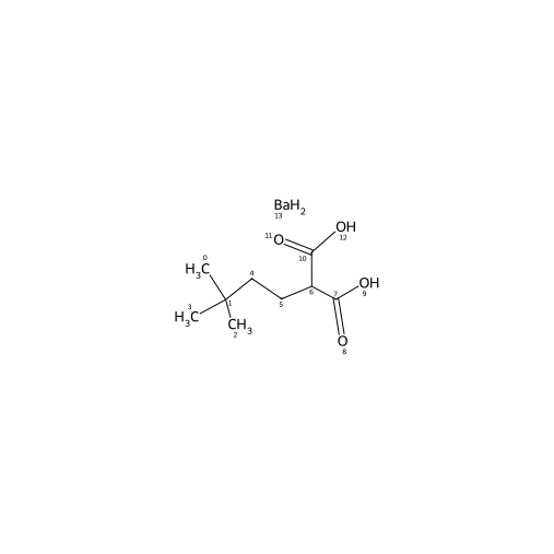 CC(C)(C)CCC(C(=O)O)C(=O)O.[BaH2]